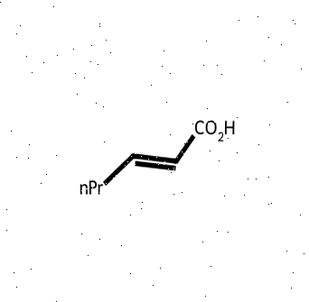 CCCC=CC(=O)O